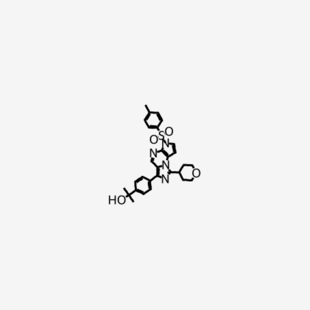 Cc1ccc(S(=O)(=O)n2ccc3c2ncc2c(-c4ccc(C(C)(C)O)cc4)nc(C4CCOCC4)n23)cc1